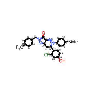 CSc1ccc(-n2nc3c(=O)n(Cc4ccc(C(F)(F)F)cc4)nc-3cc2-c2ccc(O)cc2Cl)cc1